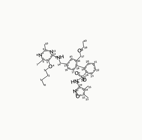 CCCCOc1c(C)nc(C)nc1NCc1ccc(-c2ccccc2S(=O)(=O)Nc2noc(C)c2C)c(COCC)c1